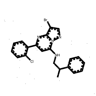 CC(CNc1cc(-c2ccccc2Cl)nc2c(Br)cnn12)c1ccccc1